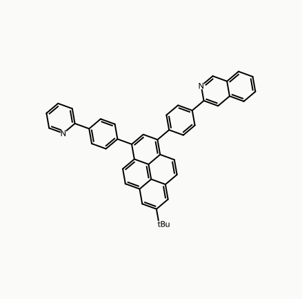 CC(C)(C)c1cc2ccc3c(-c4ccc(-c5ccccn5)cc4)cc(-c4ccc(-c5cc6ccccc6cn5)cc4)c4ccc(c1)c2c34